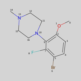 COc1ccc(Br)c(F)c1N1CCN(C)CC1